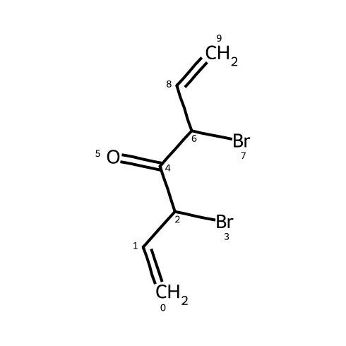 C=CC(Br)C(=O)C(Br)C=C